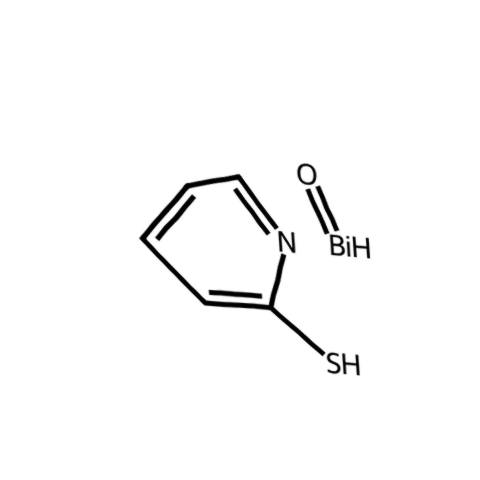 Sc1ccccn1.[O]=[BiH]